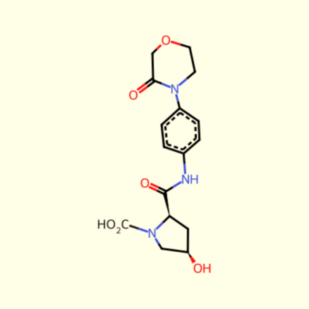 O=C(Nc1ccc(N2CCOCC2=O)cc1)[C@H]1C[C@@H](O)CN1C(=O)O